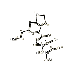 CCCCN=C=O.CCCCN=C=O.CCCCN=C=O.[SnH]/[CH]=C/c1ccc2c(c1)OCO2